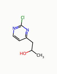 CC(O)Cc1ccnc(Cl)n1